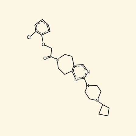 O=C(COc1ccccc1Cl)N1CCc2cnc(N3CCN(C4CCC4)CC3)nc2CC1